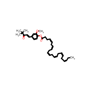 CC/C=C\C/C=C\C/C=C\C/C=C\C/C=C\C/C=C\CCC(=O)Oc1ccc(/C=C/C(=O)C(C)(C)C)cc1OC